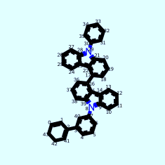 C1=CC(c2cccc(-n3c4ccccc4c4c(-c5cccc6c5c5ccccc5n6-c5ccccc5)cccc43)c2)=CCC1